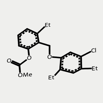 CCc1cc(CC)c(OCc2c(CC)cccc2OC(=O)OC)cc1Cl